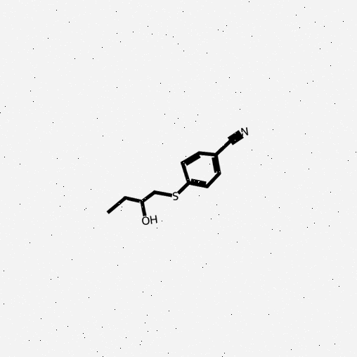 CCC(O)CSc1ccc(C#N)cc1